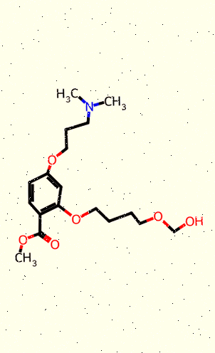 COC(=O)c1ccc(OCCCN(C)C)cc1OCCCCOCO